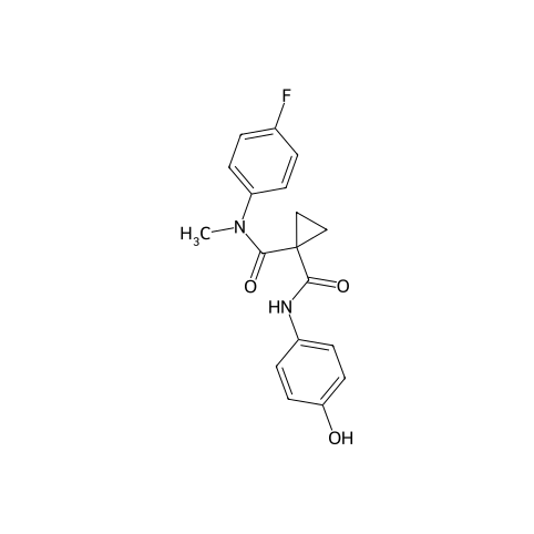 CN(C(=O)C1(C(=O)Nc2ccc(O)cc2)CC1)c1ccc(F)cc1